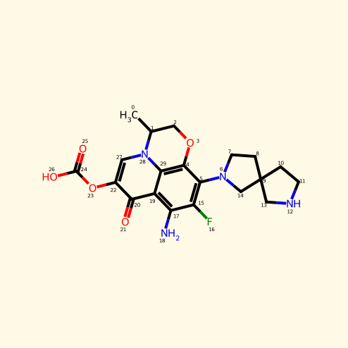 CC1COc2c(N3CCC4(CCNC4)C3)c(F)c(N)c3c(=O)c(OC(=O)O)cn1c23